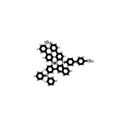 CC(C)(C)c1ccc(-c2ccc(N3c4ccc(-c5ccc(C(C)(C)C)cc5)cc4B4c5c(cc6ccccc6c53)-c3cc(N(c5ccccc5)c5ccccc5)ccc3N4c3ccc(-c4ccccc4)cc3)cc2)cc1